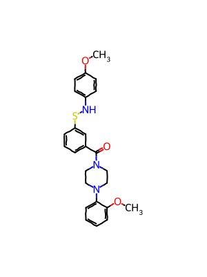 COc1ccc(NSc2cccc(C(=O)N3CCN(c4ccccc4OC)CC3)c2)cc1